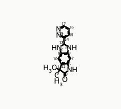 CC1(C)C(=O)Nc2cc3c(cc21)NC(c1cccnn1)N3